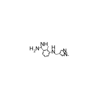 Cc1c(NCc2cnn(C)c2)cccc1C(=N)N